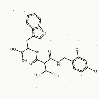 CC(C)C(C(=O)NCc1ccc(Cl)cc1Cl)C(=O)NC(Cc1coc2ccccc12)B(O)O